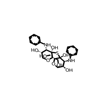 OC[C@H]1OC[C@H](O)[C@H](Nc2ccccc2)[C@@]1(O)S[C@@]1(O)[C@@H](CO)OC[C@H](O)[C@@H]1Nc1ccccc1